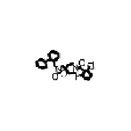 O=C1OC2(CCN(C(=O)c3c(F)cccc3Cl)CC2)CN1Cc1ccccc1-c1ccccc1